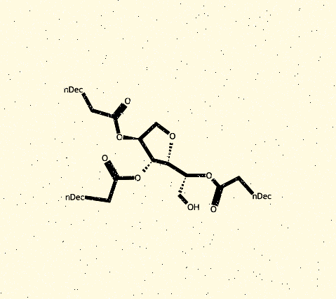 CCCCCCCCCCCC(=O)O[C@H]1[C@@H]([C@@H](CO)OC(=O)CCCCCCCCCCC)OC[C@@H]1OC(=O)CCCCCCCCCCC